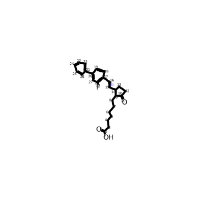 O=C(O)CCCCCCC1C(=O)CCC1/C=C/c1ccc(-c2ccccc2)cc1F